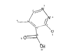 Cc1cnnc(Cl)c1C(=O)O